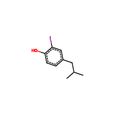 CC(C)Cc1ccc(O)c(I)c1